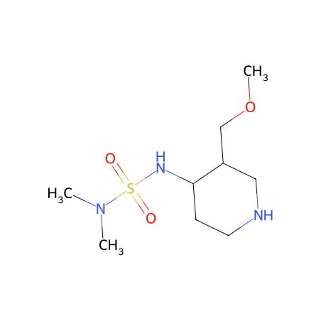 COCC1CNCCC1NS(=O)(=O)N(C)C